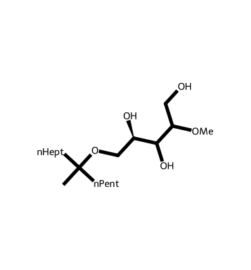 CCCCCCCC(C)(CCCCC)OC[C@@H](O)C(O)C(CO)OC